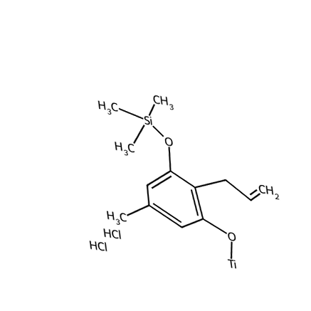 C=CCc1c([O][Ti])cc(C)cc1O[Si](C)(C)C.Cl.Cl